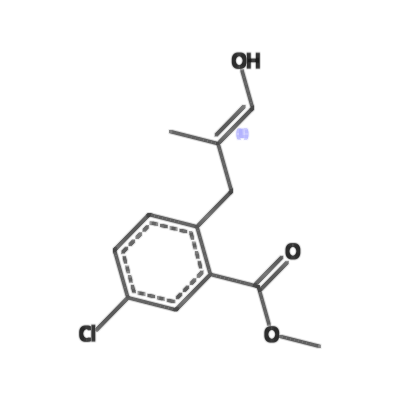 COC(=O)c1cc(Cl)ccc1C/C(C)=C/O